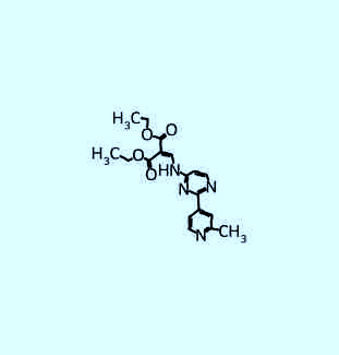 CCOC(=O)C(=CNc1ccnc(-c2ccnc(C)c2)n1)C(=O)OCC